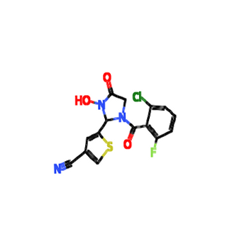 N#Cc1csc(C2N(O)C(=O)CN2C(=O)c2c(F)cccc2Cl)c1